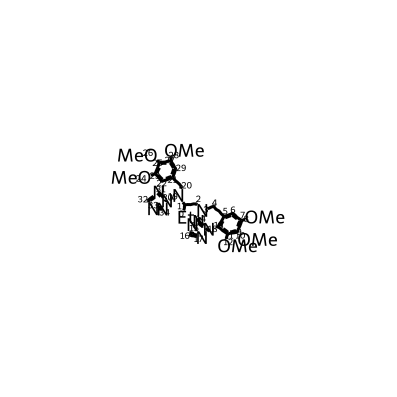 CCC(CN(Cc1cc(OC)c(OC)c(OC)c1)n1ncnn1)N(Cc1cc(OC)c(OC)c(OC)c1)n1ncnn1